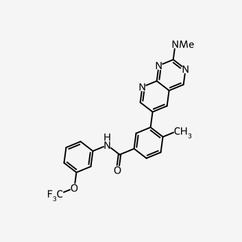 CNc1ncc2cc(-c3cc(C(=O)Nc4cccc(OC(F)(F)F)c4)ccc3C)cnc2n1